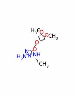 CCCCNc1nc(N)ncc1OCCOc1ccc(OC)c(OC)c1